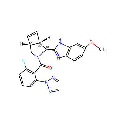 COc1ccc2nc([C@@H]3[C@H]4C=C[C@H]4CN3C(=O)c3c(F)cccc3-n3nccn3)[nH]c2c1